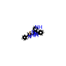 c1ccc(-c2csc(Nc3nc4c(c(-c5ccccc5)n3)CNCC4)n2)cc1